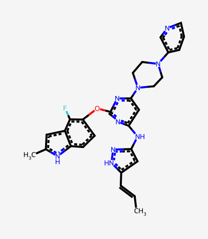 C/C=C/c1cc(Nc2cc(N3CCN(c4cccnc4)CC3)nc(Oc3ccc4[nH]c(C)cc4c3F)n2)n[nH]1